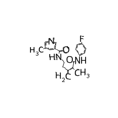 C=C(CCNC(=O)c1cncc(C)c1)C(C)C(=O)Nc1ccc(F)cc1